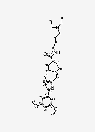 CCN(CC)CCCCNC(=O)C1CCN(Cc2nc(-c3cc(OC)cc(OC)c3)oc2C)CC1